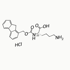 Cl.NCCCC[C@H](NC(=O)OCc1cccc2c1Cc1ccccc1-2)C(=O)O